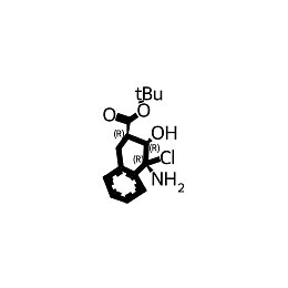 CC(C)(C)OC(=O)[C@@H]1Cc2ccccc2[C@@](N)(Cl)[C@@H]1O